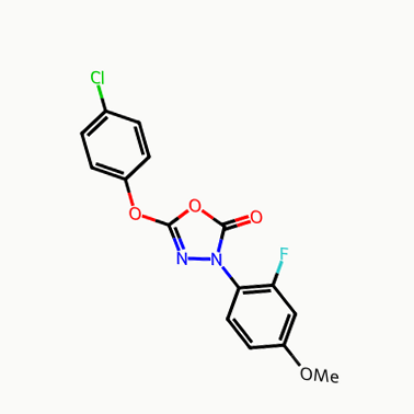 COc1ccc(-n2nc(Oc3ccc(Cl)cc3)oc2=O)c(F)c1